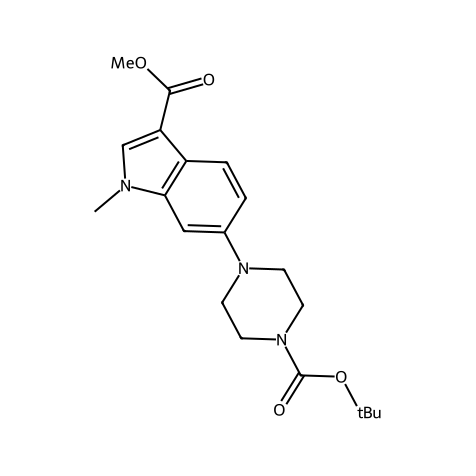 COC(=O)c1cn(C)c2cc(N3CCN(C(=O)OC(C)(C)C)CC3)ccc12